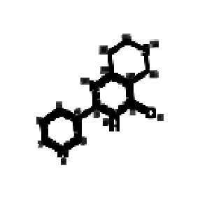 O=c1[nH]c(-c2cccnc2)nc2c1CSCC2